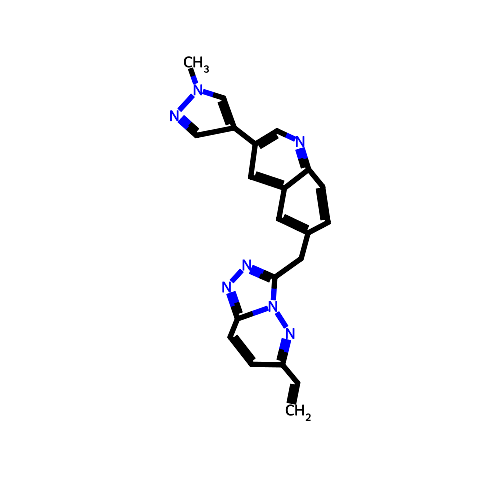 C=Cc1ccc2nnc(Cc3ccc4ncc(-c5cnn(C)c5)cc4c3)n2n1